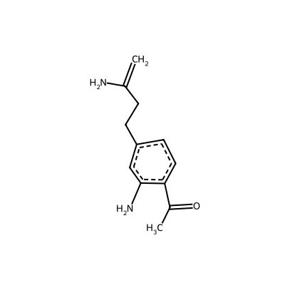 C=C(N)CCc1ccc(C(C)=O)c(N)c1